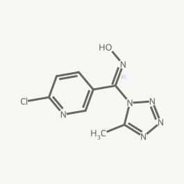 Cc1nnnn1/C(=N/O)c1ccc(Cl)nc1